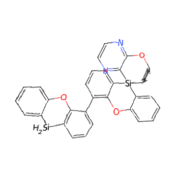 c1ccc2c(c1)Oc1c(cccc1-c1cccc3c1Oc1ccccc1[Si]31c3ccccc3Oc3nccnc31)[SiH2]2